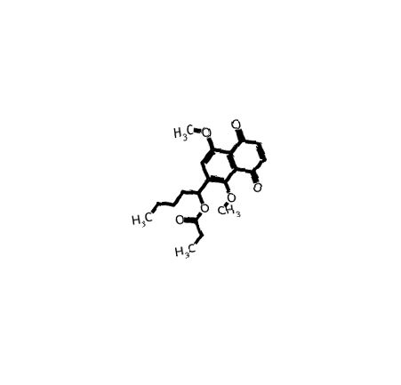 CCCCC(OC(=O)CC)c1cc(OC)c2c(c1OC)C(=O)C=CC2=O